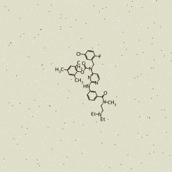 CCN(CC)CCN(C)C(=O)c1cccc(Nc2nccc(N(Cc3cc(Cl)ccc3F)C(=O)Oc3c(C)cc(C)cc3C)n2)c1